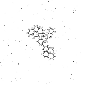 c1cc2ccc3cc(-c4cccc5c(-c6ccc7ccc8cccc9ccc6c7c89)c6c(cc45)oc4ccccc46)cc4ccc(c1)c2c34